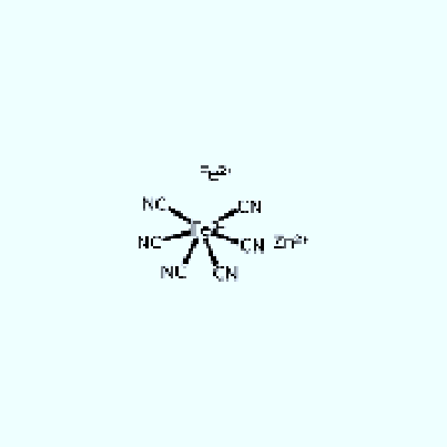 N#[C][Fe-3]([C]#N)([C]#N)([C]#N)([C]#N)[C]#N.[Fe+2].[Zn+2]